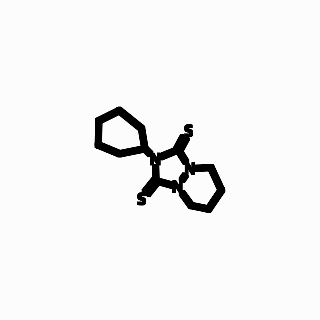 S=c1n(C2CCCCC2)c(=S)n2n1CCCC2